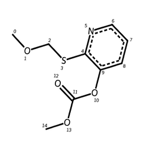 COCSc1ncccc1OC(=O)OC